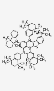 CC(C)(C)c1ccc2sc3c(c2c1)N(c1ccc2c(c1)C(C)(C)CCC2(C)C)c1cc(N2c4ccccc4C4(C)CCCCC24C)cc2c1B3c1cc3c(cc1N2c1ccc2c(c1)C(C)(C)CCC2(C)C)C(C)(C)CCC3(C)C